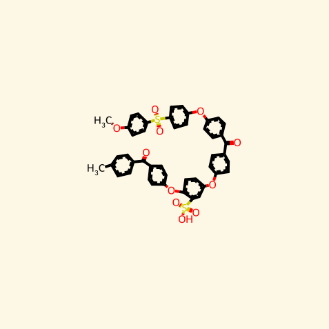 COc1ccc(S(=O)(=O)c2ccc(Oc3ccc(C(=O)c4ccc(Oc5ccc(Oc6ccc(C(=O)c7ccc(C)cc7)cc6)c(S(=O)(=O)O)c5)cc4)cc3)cc2)cc1